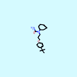 CC(C)(C)c1ccc(OCCCN(C(N)=O)C2CCCCC2)cc1